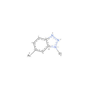 CCn1nnc2ccc(C(C)=O)cc21